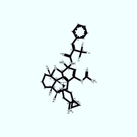 CC(=O)OC1=CC(O)(NC(=O)C(=Cc2ccccc2)C(F)(F)F)C2O[C@H]3CCC[C@H]4[C@H]5CC1=C2[C@@]34CC[N+]5(CC(C)C)CC1CC1